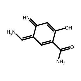 N=C1C=C(O)C(C(N)=O)=C/C1=C/N